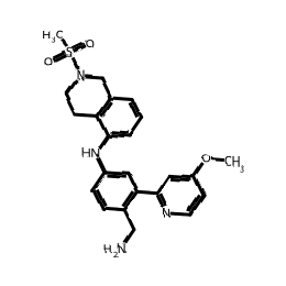 COc1ccnc(-c2cc(Nc3cccc4c3CCN(S(C)(=O)=O)C4)ccc2CN)c1